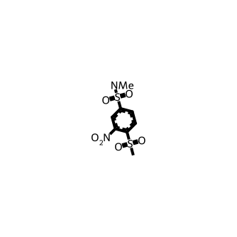 CNS(=O)(=O)c1ccc(S(C)(=O)=O)c([N+](=O)[O-])c1